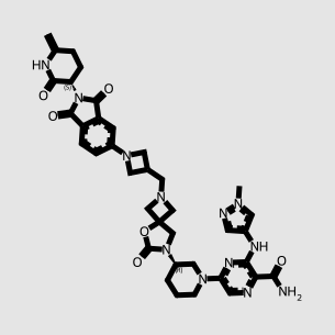 C=C1CC[C@H](N2C(=O)c3ccc(N4CC(CN5CC6(C5)CN([C@@H]5CCCN(c7cnc(C(N)=O)c(Nc8cnn(C)c8)n7)C5)C(=O)O6)C4)cc3C2=O)C(=O)N1